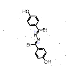 CC/C(=N\N=C(/CC)c1ccc(O)cc1)c1ccc(O)cc1